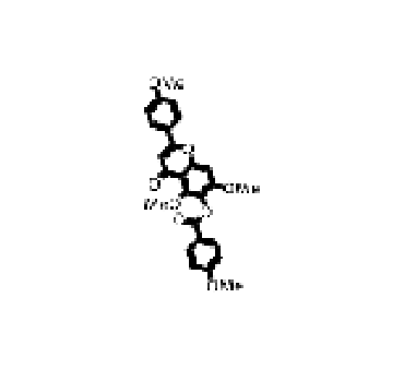 COc1ccc(C(=O)Oc2c(OC)cc3oc(-c4ccc(OC)cc4)cc(=O)c3c2OC)cc1